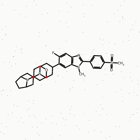 Cn1c(-c2ccc(S(C)(=O)=O)cc2)nc2cc(F)c(C3CCN(C4CC5CCC(C4)N5C4CCOCC4)CC3)cc21